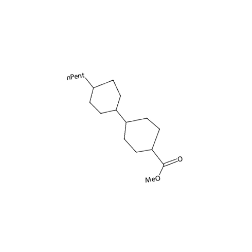 CCCCCC1CCC(C2CCC(C(=O)OC)CC2)CC1